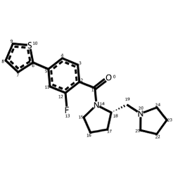 O=C(c1ccc(-c2cccs2)cc1F)N1CCC[C@H]1CN1CCCC1